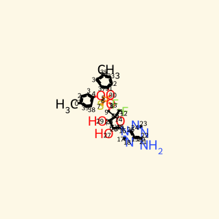 Cc1ccc(OP(=S)(OC[C@@]2(C(F)F)O[C@@H](n3cnc4c(N)ncnc43)[C@@H](O)[C@@H]2O)Oc2ccc(C)cc2)cc1